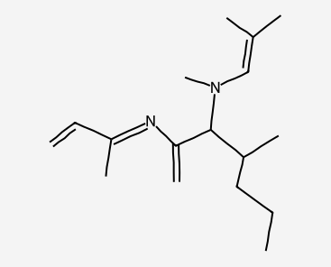 C=C/C(C)=N/C(=C)C(C(C)CCC)N(C)C=C(C)C